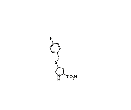 O=C(O)C1CC(SCc2ccc(F)cc2)CN1